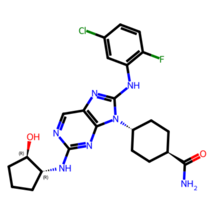 NC(=O)[C@H]1CC[C@H](n2c(Nc3cc(Cl)ccc3F)nc3cnc(N[C@@H]4CCC[C@H]4O)nc32)CC1